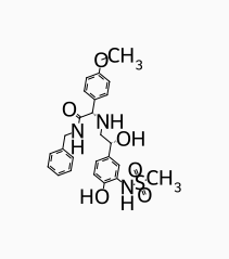 COc1ccc([C@H](NC[C@H](O)c2ccc(O)c(NS(C)(=O)=O)c2)C(=O)NCc2ccccc2)cc1